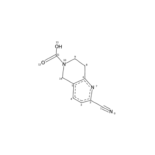 N#Cc1ccc2c(n1)CCN(C(=O)O)C2